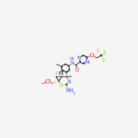 COC[C@]12C[C@H]1[C@](C)(c1cc(NC(=O)c3cnc(OCC(F)(F)F)cn3)cc(C)c1F)N=C(N)S2